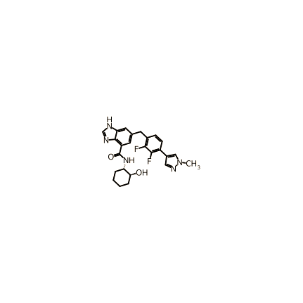 Cn1cc(-c2ccc(Cc3cc(C(=O)N[C@H]4CCCC[C@@H]4O)c4nc[nH]c4c3)c(F)c2F)cn1